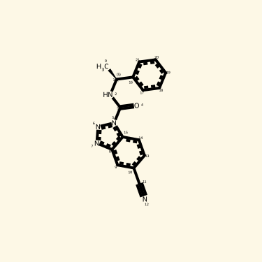 C[C@H](NC(=O)n1nnc2cc(C#N)ccc21)c1ccccc1